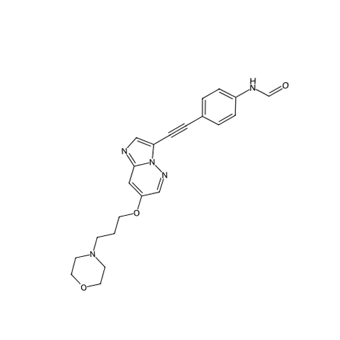 O=CNc1ccc(C#Cc2cnc3cc(OCCCN4CCOCC4)cnn23)cc1